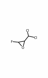 FC1OC1C(Cl)Cl